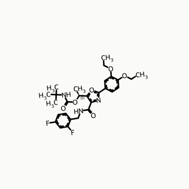 CCOc1ccc(-c2nc(C(=O)NCc3ccc(F)cc3F)c([C@H](C)OC(=O)NC(C)(C)C)o2)cc1OCC